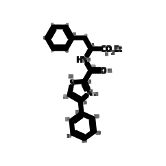 CCOC(=O)C(Cc1ccccc1)NC(=O)c1nc(-c2ccccc2)cs1